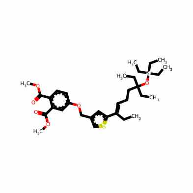 CCC(=CCCC(CC)(CC)O[Si](CC)(CC)CC)c1cc(COc2ccc(C(=O)OC)c(C(=O)OC)c2)cs1